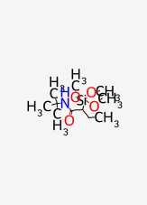 CCC(C(=O)NC(C)(C)C)[Si](OC)(OC)OC